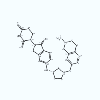 CN1CCc2ncc(CN3CC[C@H](Oc4ccc5c(c4)CN(C4CCC(=O)NC4=O)C5=O)C3)cc2C1